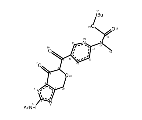 CC(=O)Nc1nc2c(s1)C(=O)C(C(=O)c1ccc(N(C)C(=O)OC(C)(C)C)nc1)OC2